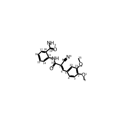 COc1ccc(/C=C(\C#N)C(=O)Nc2ccccc2C(N)=O)cc1OC